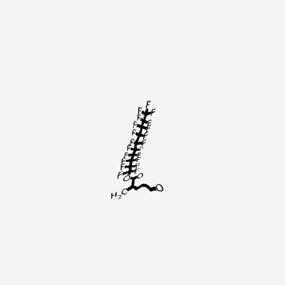 C=C(CCC=O)C(=O)OC(F)(F)C(F)(F)C(F)(F)C(F)(F)C(F)(F)C(F)(F)C(F)(F)C(F)(F)C(F)(F)C(F)(F)F